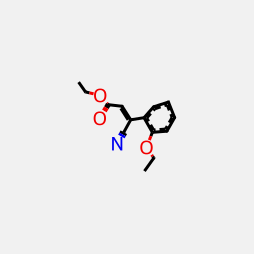 CCOC(=O)C=C(C#N)c1ccccc1OCC